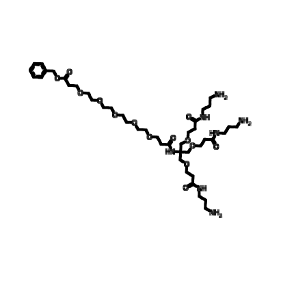 NCCCNC(=O)CCOCC(COCCC(=O)NCCCN)(COCCC(=O)NCCCN)NC(=O)CCOCCOCCOCCOCCOCCC(=O)OCc1ccccc1